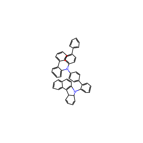 C1=CC2c3c(ccc4ccccc34)N(c3ccccc3-c3ccc(N(c4ccc(-c5ccccc5)cc4)c4ccccc4-c4ccccc4)cc3)C2C=C1